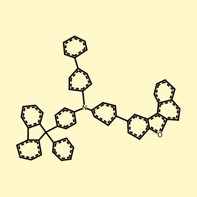 c1ccc(-c2ccc(N(c3ccc(-c4ccc5oc6ccc7ccccc7c6c5c4)cc3)c3ccc(C4(c5ccccc5)c5ccccc5-c5ccccc54)cc3)cc2)cc1